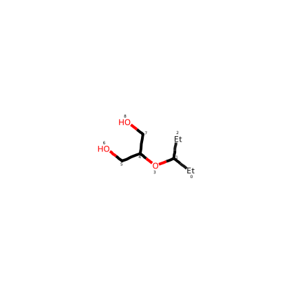 CCC(CC)OC(CO)CO